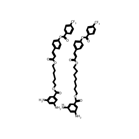 Nc1cc(N)cc(C(=O)OCCCCCCCCOC(=O)C=Cc2ccc(OC(=O)c3ccc(C(F)(F)F)cc3)cc2)c1.Nc1cc(N)cc(C(=O)OCCCCCCOC(=O)C=Cc2ccc(OC(=O)c3ccc(C(F)(F)F)cc3)cc2)c1